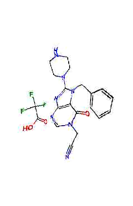 N#CCn1cnc2nc(N3CCNCC3)n(Cc3ccccc3)c2c1=O.O=C(O)C(F)(F)F